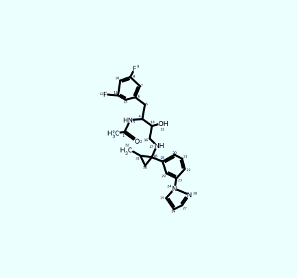 CC(=O)NC(Cc1cc(F)cc(F)c1)C(O)CNC1(c2cccc(-n3cccn3)c2)CC1C